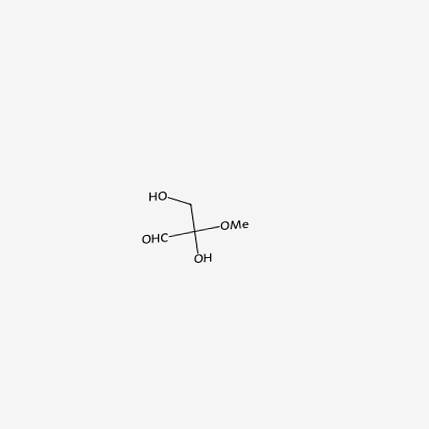 COC(O)(C=O)CO